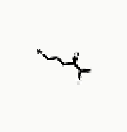 CC(Br)C(=O)CCCBr